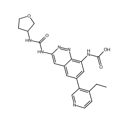 CCc1ccncc1-c1cc(NC(=O)O)c2nnc(NC(=O)NC3CCOC3)cc2c1